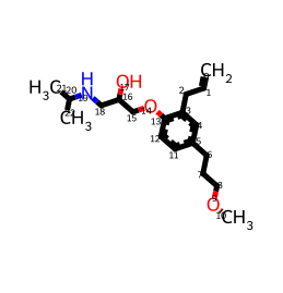 C=CCc1cc(CCCOC)ccc1OCC(O)CNC(C)C